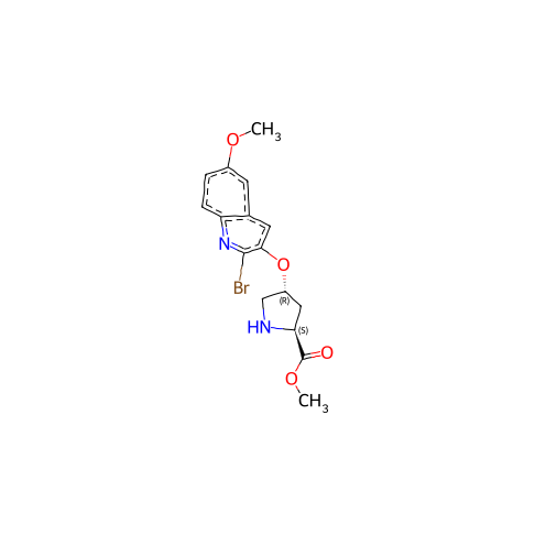 COC(=O)[C@@H]1C[C@@H](Oc2cc3cc(OC)ccc3nc2Br)CN1